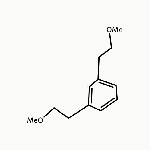 COCCc1[c]c(CCOC)ccc1